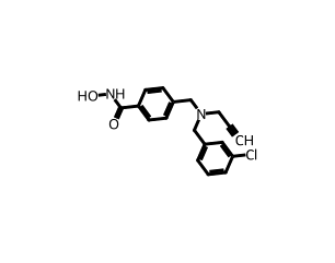 C#CCN(Cc1ccc(C(=O)NO)cc1)Cc1cccc(Cl)c1